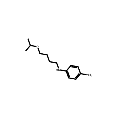 CC(C)OCCCCNc1ccc(N)cc1